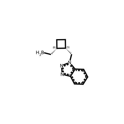 BC[C@@H]1CC[C@@H]1Cn1nnc2ccccc21